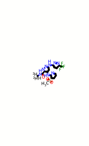 [2H]C([2H])([2H])NC(=O)c1nnc(Nc2ccc(C(F)(F)F)nn2)cc1Nc1ncccc1S(C)(=O)=O